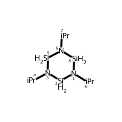 CC(C)N1[SiH2]N(C(C)C)[SiH2]N(C(C)C)[SiH2]1